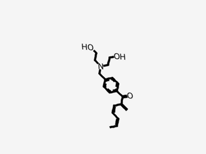 C=C(/C=C\C=C/C)C(=O)c1ccc(CN(CCO)CCO)cc1